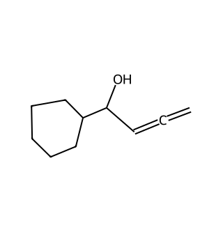 C=C=CC(O)C1CCCCC1